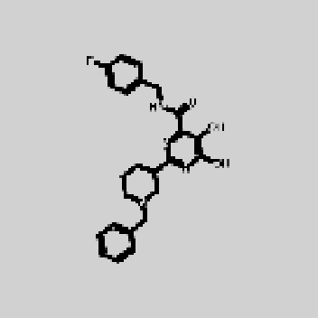 O=C(NCc1ccc(F)cc1)c1nc(C2CCCN(Cc3ccccc3)C2)nc(O)c1O